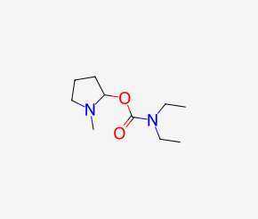 CCN(CC)C(=O)OC1CCCN1C